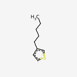 CCCCCc1c[c]sc1